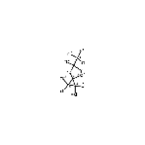 FC(Cl)(Cl)C(F)(Cl)OC1(Cl)C(F)(Cl)C1(Cl)Cl